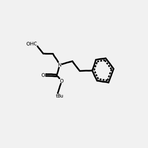 CC(C)(C)OC(=O)N(CCC=O)CCc1ccccc1